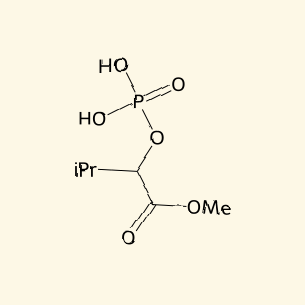 COC(=O)C(OP(=O)(O)O)C(C)C